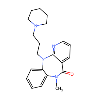 CN1C(=O)c2cccnc2N(CCCN2CCCCC2)c2ccccc21